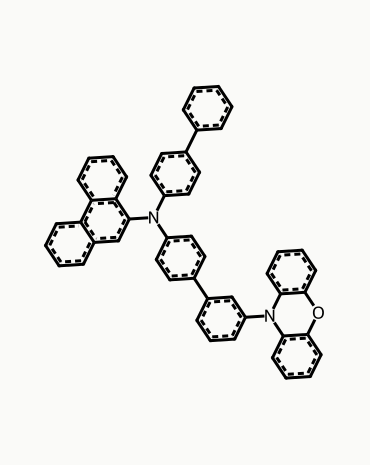 c1ccc(-c2ccc(N(c3ccc(-c4cccc(N5c6ccccc6Oc6ccccc65)c4)cc3)c3cc4ccccc4c4ccccc34)cc2)cc1